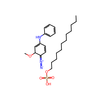 CCCCCCCCCCCCOS(=O)(=O)O.COC1C=C(Nc2ccccc2)C=CC1=[N+]=[N-]